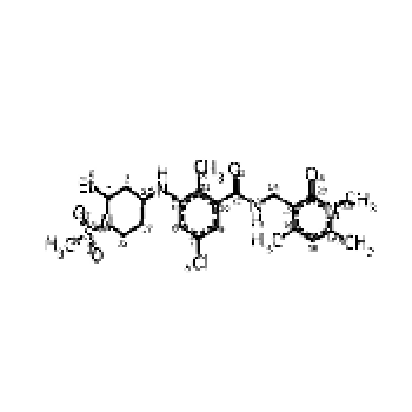 CCC1CC(Nc2cc(Cl)cc(C(=O)NCc3c(C)cc(C)n(C)c3=O)c2C)CCN1S(C)(=O)=O